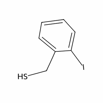 SCc1ccccc1I